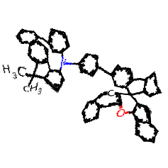 CC1(C)c2ccccc2-c2c(N(c3ccc(-c4ccc5c(c4)C4(c6ccccc6-5)c5ccc6ccccc6c5Oc5c4ccc4ccccc54)cc3)c3cccc(-c4ccccc4)c3)cccc21